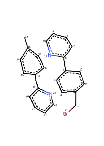 BrCc1ccc(-c2ccccn2)cc1.Cc1ccc(-c2ccccn2)cc1